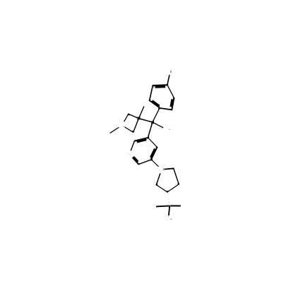 CC(C)c1ccc(C(O)(c2cncc(N3CC[C@H](C(C)(C)O)C3)c2)C2(C)CN(C)C2)cc1